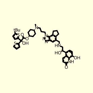 CN(CCCn1nnc2cc(CNC[C@H](O)c3c#cc(O)c4[nH]c(=O)ccc34)c3c(c21)CCC3)[C@H]1CC[C@H](OC(=O)[C@](O)(c2cccs2)c2ccc(C(C)(C)C)s2)CC1